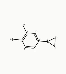 Cc1cc([C]2CC2)ccc1F